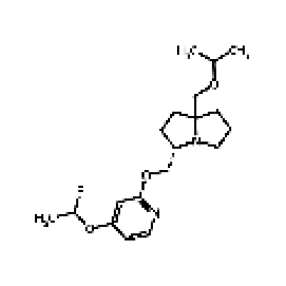 CC(C)OC[C@@]12CCCN1[C@H](COc1cc(OC(C)F)ccn1)CC2